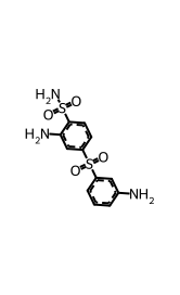 Nc1cccc(S(=O)(=O)c2ccc(S(N)(=O)=O)c(N)c2)c1